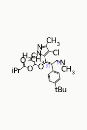 C/N=C\C(=C(\OC(C)OC(=O)C(C)C)c1c(Cl)c(C)nn1C)c1ccc(C(C)(C)C)cc1